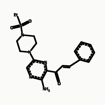 CCS(=O)(=O)N1CCN(c2cnc(N)c(C(=O)C=Cc3ccccc3)n2)CC1